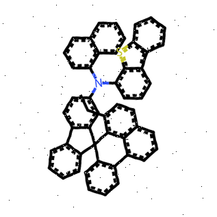 CCc1ccc2cccc3c2c1C1(c2ccccc2-c2ccc(N(c4cccc5ccccc45)c4cccc5c4sc4ccccc45)cc21)c1ccccc1-3